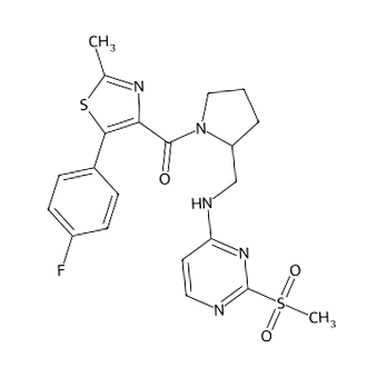 Cc1nc(C(=O)N2CCCC2CNc2ccnc(S(C)(=O)=O)n2)c(-c2ccc(F)cc2)s1